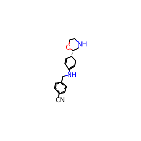 N#Cc1ccc(CNC2=CCC([C@H]3CNCCO3)C=C2)cc1